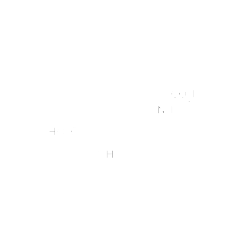 O=C(O)NCCCC(O)C(=O)O